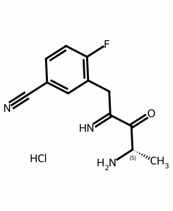 C[C@H](N)C(=O)C(=N)Cc1cc(C#N)ccc1F.Cl